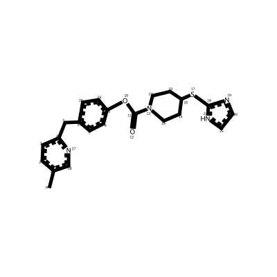 Cc1ccc(Cc2ccc(OC(=O)N3CCC(Sc4ncc[nH]4)CC3)cc2)nc1